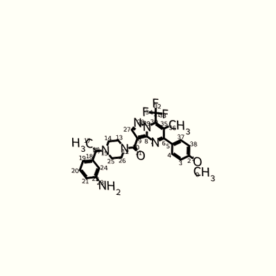 COc1ccc(-c2nc3c(C(=O)N4CCN([C@@H](C)c5cccc(N)c5)CC4)cnn3c(C(F)(F)F)c2C)cc1